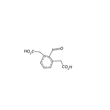 O=Ic1c(CC(=O)O)cccc1CC(=O)O